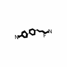 N#C/C(F)=C/CC[C@H]1CC[C@H](c2ccc(C#N)cc2)CC1